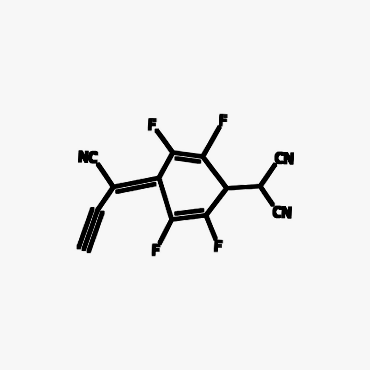 C#CC(C#N)=C1C(F)=C(F)C(C(C#N)C#N)C(F)=C1F